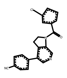 N#Cc1ccc(-c2cncc3c2CCN3C(=O)c2cccc(Cl)c2)cc1